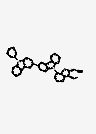 C#C/C=c1/oc2c(-n3c4ccccc4c4cc(-c5ccc6c(c5)c5ccccc5n6-c5ccccc5)ccc43)cccc2/c1=C/C